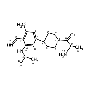 Cc1cc(C2CCN(C(=O)C(C)N)CC2)nc(NC(C)C)c1C=N